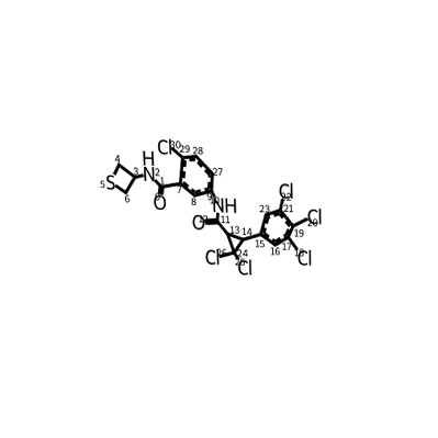 O=C(NC1CSC1)c1cc(NC(=O)C2C(c3cc(Cl)c(Cl)c(Cl)c3)C2(Cl)Cl)ccc1Cl